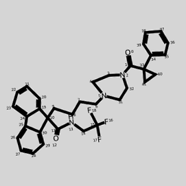 O=C(N1CCN(CCCCC2(C(=O)NCC(F)(F)F)c3ccccc3-c3ccccc32)CC1)C1(c2ccccc2)CC1